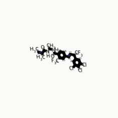 C/C=C(/C)C(=O)N[C@@H](C)NC(=O)c1ccc(/C=C/C(c2cc(Cl)c(Cl)c(Cl)c2)C(F)(F)F)cc1C(F)(F)F